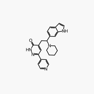 O=c1[nH]nc(-c2ccncc2)cc1CC(c1ccc2cc[nH]c2c1)N1CCCCC1